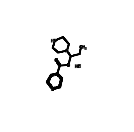 CCC(OC(=O)c1ccncc1)N1CCNCC1.Cl